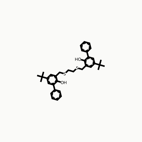 CC(C)(C)c1cc(CSCCSCc2cc(C(C)(C)C)cc(-c3ccccc3)c2O)c(O)c(-c2ccccc2)c1